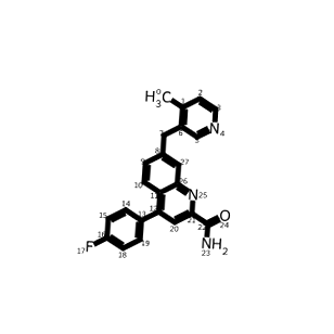 Cc1ccncc1Cc1ccc2c(-c3ccc(F)cc3)cc(C(N)=O)nc2c1